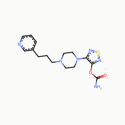 NC(=O)Oc1nsnc1N1CCN(C[CH]Cc2cccnc2)CC1